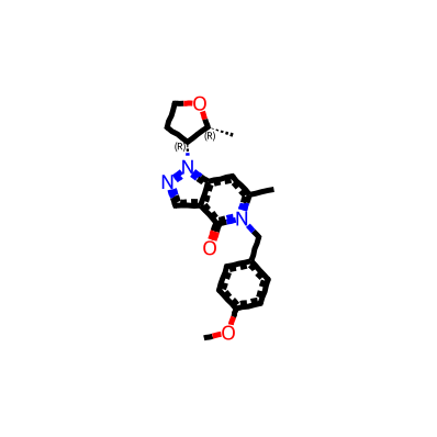 COc1ccc(Cn2c(C)cc3c(cnn3[C@@H]3CCO[C@@H]3C)c2=O)cc1